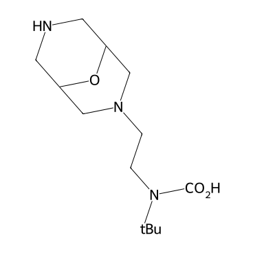 CC(C)(C)N(CCN1CC2CNCC(C1)O2)C(=O)O